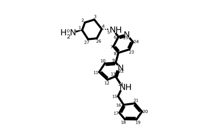 N[C@H]1CC[C@H](Nc2cc(-c3cccc(NCc4ccccc4)n3)ccn2)CC1